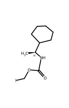 C[C@H](NC(=O)OCI)C1CCCCC1